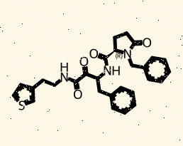 O=C(NCCc1ccsc1)C(=O)C(Cc1ccccc1)NC(=O)[C@H]1CCC(=O)N1Cc1ccccc1